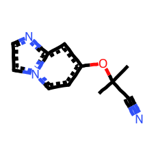 CC(C)(C#N)Oc1ccn2ccnc2c1